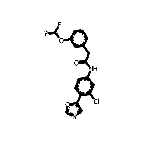 O=C(Cc1cccc(OC(F)F)c1)Nc1ccc(-c2cnco2)c(Cl)c1